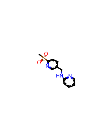 CS(=O)(=O)c1ccc(CNc2ccccn2)cn1